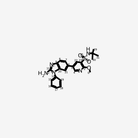 COc1ncc(-c2ccc3nc(N)n(-c4ccccc4)c3c2)cc1S(=O)(=O)NC(C)(C)C